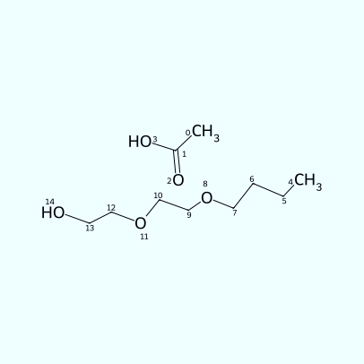 CC(=O)O.CCCCOCCOCCO